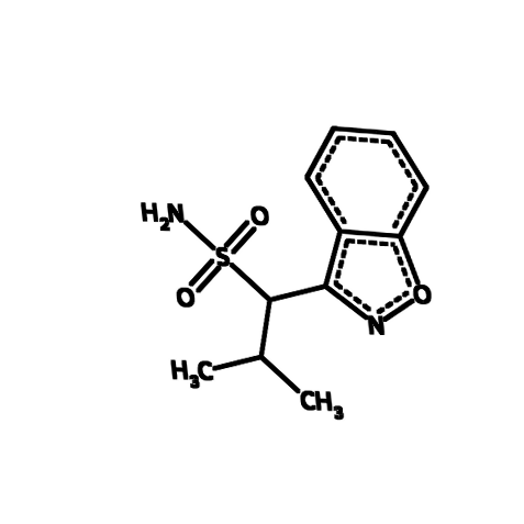 CC(C)C(c1noc2ccccc12)S(N)(=O)=O